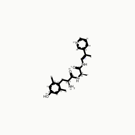 C/C(=C\NC(=O)[C@@H](C)NC(=O)[C@@H](N)Cc1c(C)cc(O)cc1C)c1cccnc1